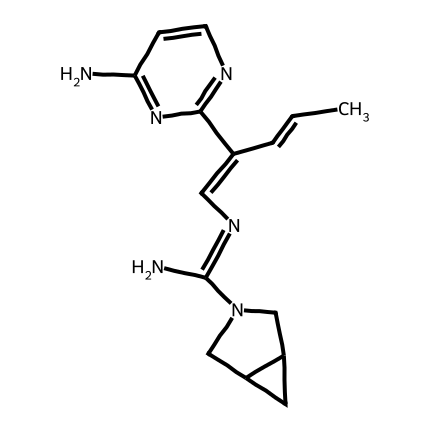 C/C=C/C(=C\N=C(/N)N1CC2CC2C1)c1nccc(N)n1